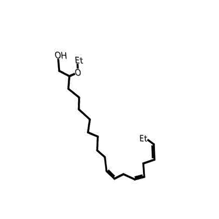 CC/C=C\C/C=C\C/C=C\CCCCCCCCC(CO)OCC